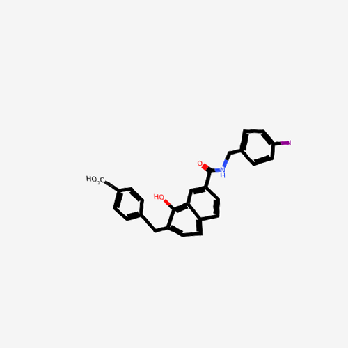 O=C(O)c1ccc(Cc2ccc3ccc(C(=O)NCc4ccc(I)cc4)cc3c2O)cc1